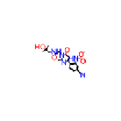 COC(=O)Nc1cc(C#N)ccc1-c1cc(=O)n(CC(=O)NCC(C)(C)O)c(C)n1